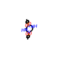 Cc1ccc(S(=O)(=O)N2CCCCNCCN(S(=O)(=O)c3ccc(C)cc3)CCNCC2)cc1